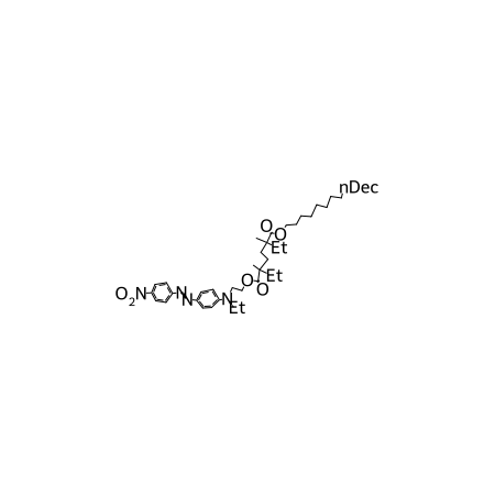 CCCCCCCCCCCCCCCCCCOC(=O)C(C)(CC)CCC(C)(CC)C(=O)OCCN(CC)c1ccc(/N=N/c2ccc([N+](=O)[O-])cc2)cc1